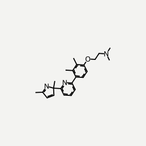 CC1=NC(C)(c2cccc(-c3ccc(OCCN(C)C)c(C)c3C)n2)C=C1